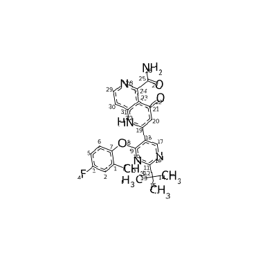 Cc1cc(F)ccc1Oc1nc(C(C)(C)C)ncc1-c1cc(=O)c2c(C(N)=O)nccc2[nH]1